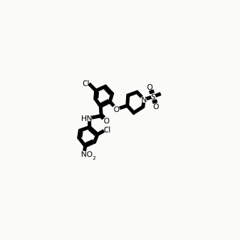 CS(=O)(=O)N1CCC(Oc2ccc(Cl)cc2C(=O)Nc2ccc([N+](=O)[O-])cc2Cl)CC1